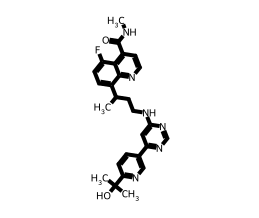 CNC(=O)c1ccnc2c(C(C)CCNc3cc(-c4ccc(C(C)(C)O)nc4)ncn3)ccc(F)c12